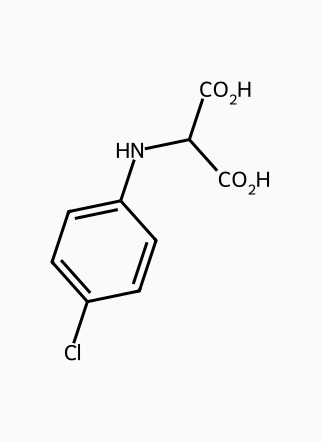 O=C(O)C(Nc1ccc(Cl)cc1)C(=O)O